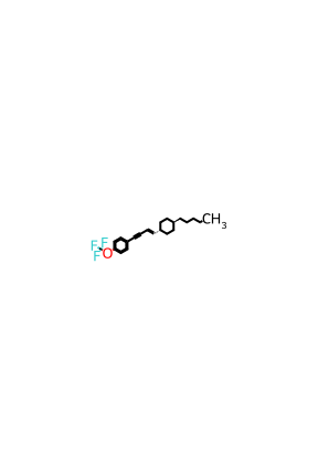 CCCCC[C@H]1CC[C@H](C=CC#Cc2ccc(OC(F)(F)F)cc2)CC1